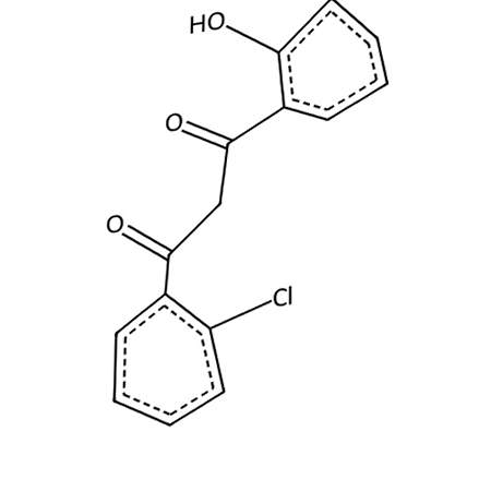 O=C(CC(=O)c1ccccc1Cl)c1ccccc1O